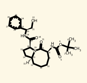 CC(C)(C)OC(=O)N[C@H]1CCCC[C@H]2CC[C@@H](C(=O)N[C@H](CO)c3ccccc3)N2C1=O